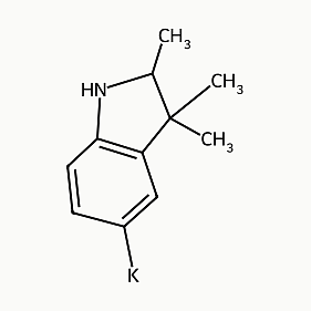 CC1Nc2cc[c]([K])cc2C1(C)C